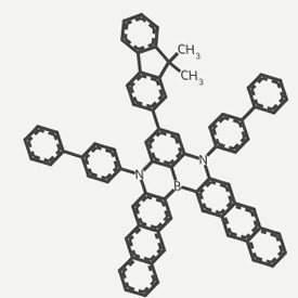 CC1(C)c2ccccc2-c2ccc(-c3cc4c5c(c3)N(c3ccc(-c6ccccc6)cc3)c3cc6cc7ccccc7cc6cc3B5c3cc5cc6ccccc6cc5cc3N4c3ccc(-c4ccccc4)cc3)cc21